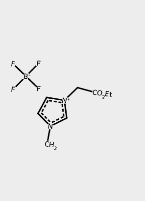 CCOC(=O)C[n+]1ccn(C)c1.F[B-](F)(F)F